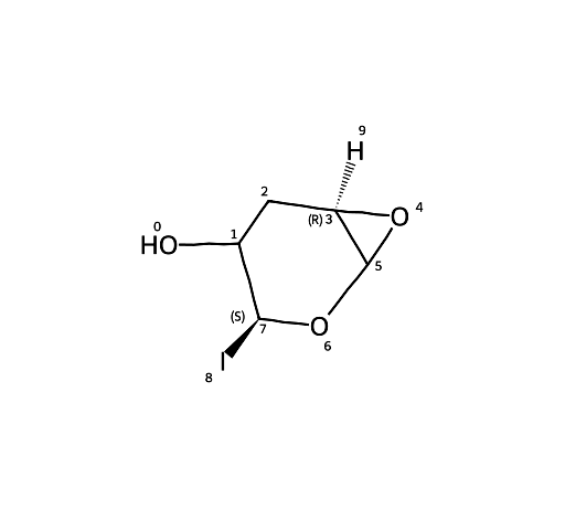 OC1C[C@H]2OC2O[C@H]1I